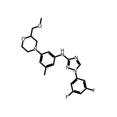 COCC1CN(c2cc(C)cc(Nc3ncn(-c4cc(F)cc(F)c4)n3)c2)CCO1